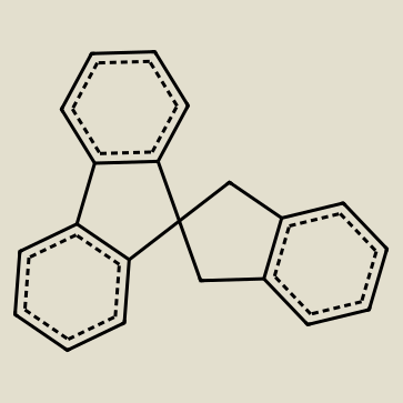 c1ccc2c(c1)CC1(C2)c2ccccc2-c2ccccc21